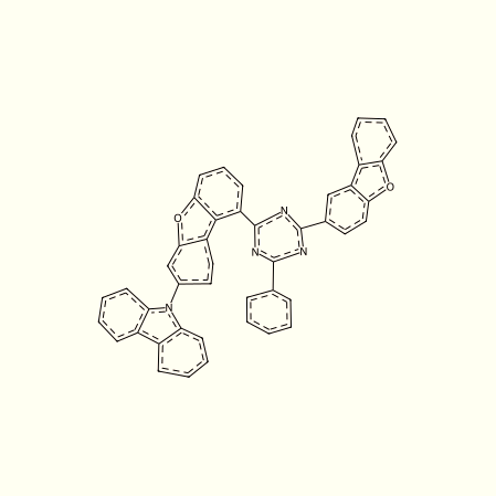 c1ccc(-c2nc(-c3ccc4oc5ccccc5c4c3)nc(-c3cccc4oc5cc(-n6c7ccccc7c7ccccc76)ccc5c34)n2)cc1